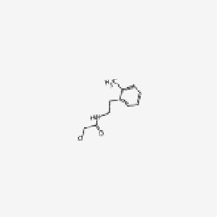 Cc1ccccc1CCNC(=O)CCl